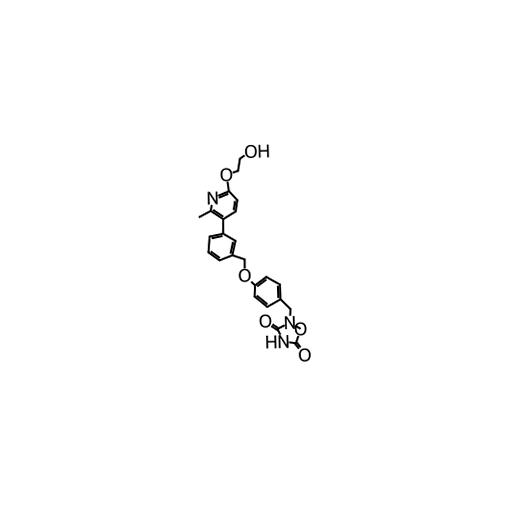 Cc1nc(OCCO)ccc1-c1cccc(COc2ccc(Cn3oc(=O)[nH]c3=O)cc2)c1